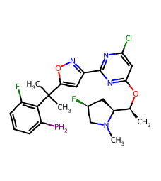 C[C@H](Oc1cc(Cl)nc(-c2cc(C(C)(C)c3c(F)cccc3P)on2)n1)[C@@H]1C[C@H](F)CN1C